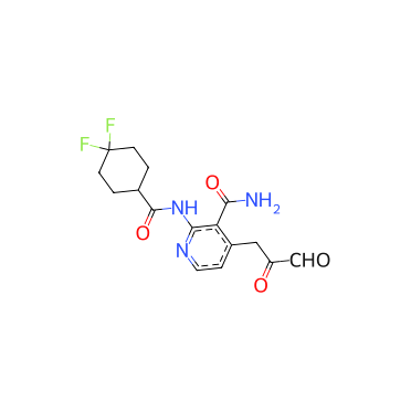 NC(=O)c1c(CC(=O)C=O)ccnc1NC(=O)C1CCC(F)(F)CC1